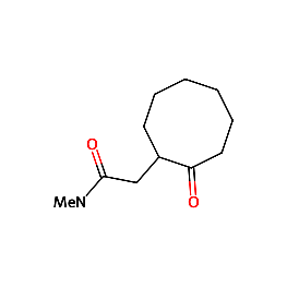 CNC(=O)CC1CCCCCCC1=O